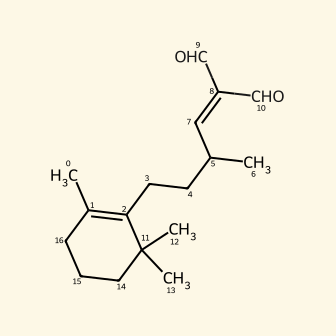 CC1=C(CCC(C)C=C(C=O)C=O)C(C)(C)CCC1